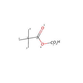 CC(C)(C)C(=O)OC(=O)O